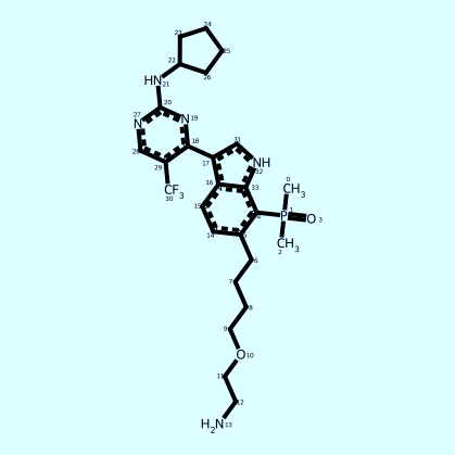 CP(C)(=O)c1c(CCCCOCCN)ccc2c(-c3nc(NC4CCCC4)ncc3C(F)(F)F)c[nH]c12